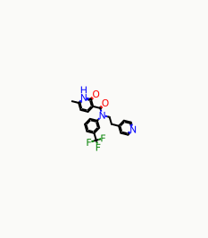 Cc1ccc(C(=O)N(CCc2ccncc2)c2cccc(C(F)(F)F)c2)c(=O)[nH]1